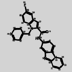 O=C(Nc1ccc2c(c1)nc1ccccn12)c1cc2cc(F)ccc2n1Cc1ccncc1